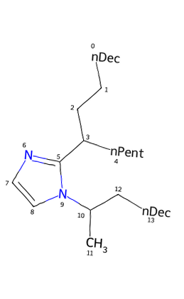 CCCCCCCCCCCCC(CCCCC)c1nccn1C(C)CCCCCCCCCCC